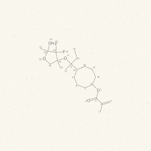 C=C(C)C(=O)OC1CCCC(C(C)(CC)OC2(C)COC(C)(O)C2(F)F)CCC1